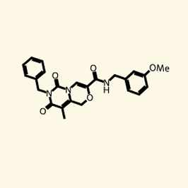 COc1cccc(CNC(=O)C2=Cn3c(c(C)c(=O)n(Cc4ccccc4)c3=O)CO2)c1